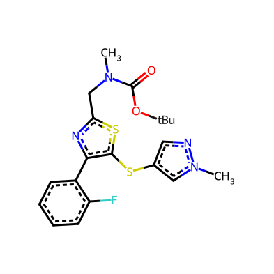 CN(Cc1nc(-c2ccccc2F)c(Sc2cnn(C)c2)s1)C(=O)OC(C)(C)C